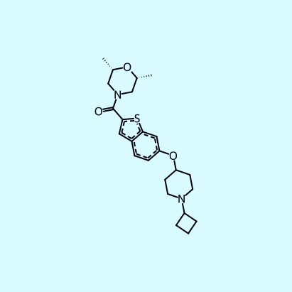 C[C@@H]1CN(C(=O)c2cc3ccc(OC4CCN(C5CCC5)CC4)cc3s2)C[C@H](C)O1